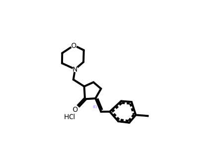 Cc1ccc(/C=C2\CCC(CN3CCOCC3)C2=O)cc1.Cl